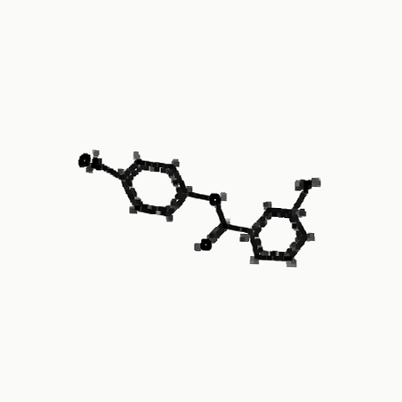 O=C(Oc1ccc([N+](=O)[O-])cc1)c1cccc([18F])c1